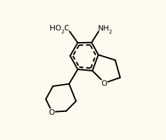 Nc1c(C(=O)O)cc(C2CCOCC2)c2c1CCO2